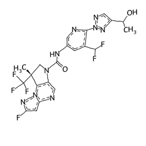 CC(O)c1cnn(-c2ncc(NC(=O)N3C[C@@](C)(C(F)(F)F)c4c3cnc3cc(F)nn43)cc2C(F)F)n1